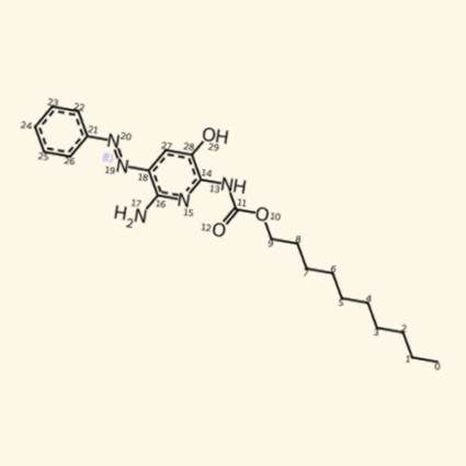 CCCCCCCCCCOC(=O)Nc1nc(N)c(/N=N/c2ccccc2)cc1O